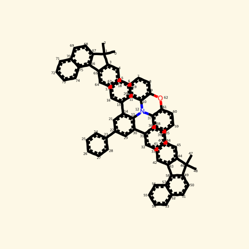 CC1(C)c2cc(-c3ccc4c(c3)N(c3c(-c5ccccc5)cc(-c5ccccc5)cc3-c3ccccc3)c3cc(-c5ccc6c(c5)C(C)(C)c5ccc7ccccc7c5-6)ccc3O4)ccc2-c2c1ccc1ccccc21